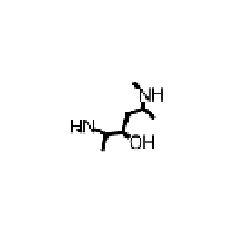 CNC(C)CC(O)C(C)NC